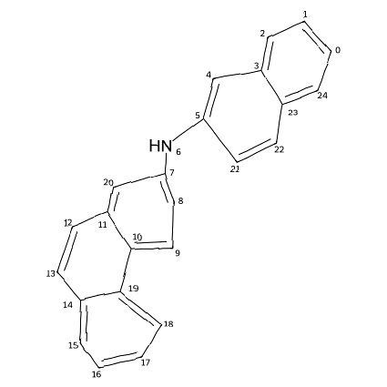 c1ccc2cc(Nc3ccc4c(ccc5ccccc54)c3)ccc2c1